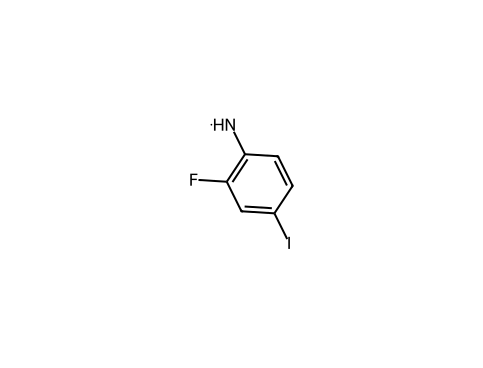 [NH]c1ccc(I)cc1F